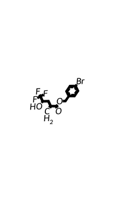 C=C(CC(O)C(F)(F)F)C(=O)OCc1ccc(Br)cc1